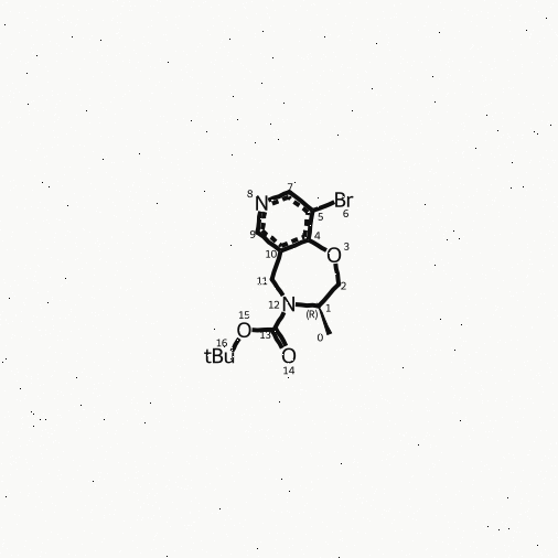 C[C@@H]1COc2c(Br)cncc2CN1C(=O)OC(C)(C)C